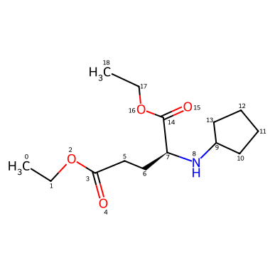 CCOC(=O)CC[C@H](NC1CCCC1)C(=O)OCC